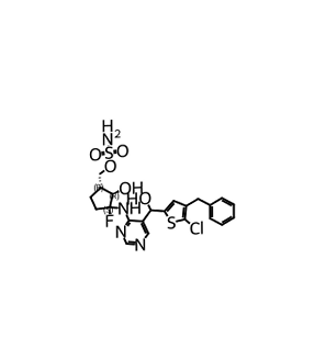 NS(=O)(=O)OC[C@H]1CC[C@@](F)(Nc2ncncc2C(O)c2cc(Cc3ccccc3)c(Cl)s2)[C@@H]1O